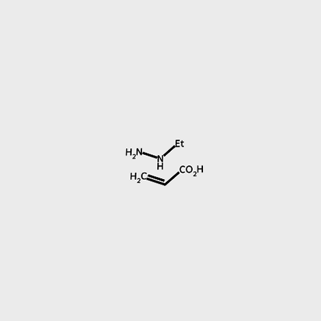 C=CC(=O)O.CCNN